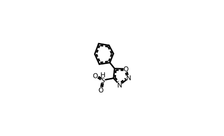 O=[SH](=O)c1nnoc1-c1ccccc1